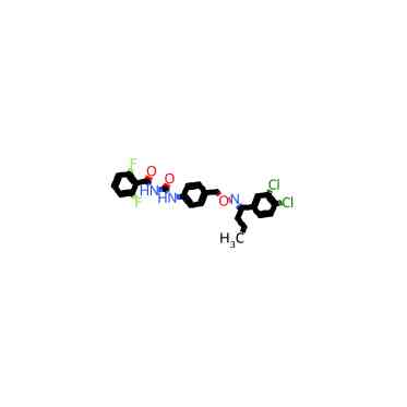 CCC/C(=N\OCc1ccc(NC(=O)NC(=O)c2c(F)cccc2F)cc1)c1ccc(Cl)c(Cl)c1